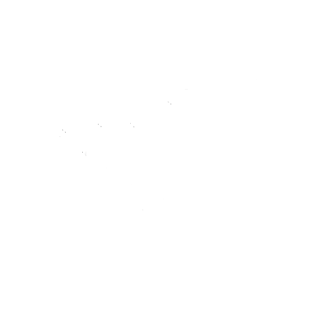 Nc1nc(N2CCN(C(=O)CCc3ccccc3)CC2)c2cc(-c3ccc(F)cc3)sc2n1